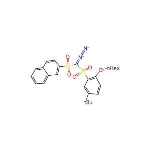 CCCCCCOc1ccc(C(C)(C)C)cc1S(=O)(=O)C(=[N+]=[N-])S(=O)(=O)c1ccc2ccccc2c1